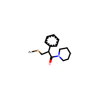 CC(=O)SCC(C(=O)N1CC[C]CC1)c1ccccc1